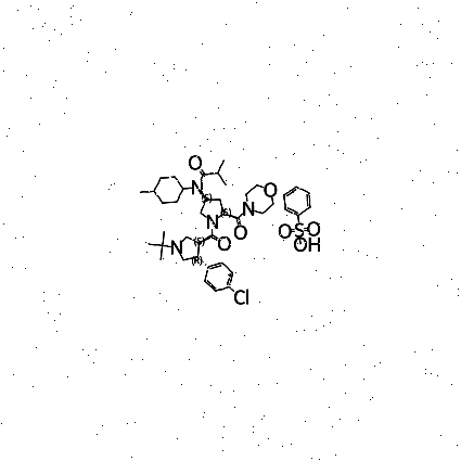 CC1CCC(N(C(=O)C(C)C)[C@H]2C[C@@H](C(=O)N3CCOCC3)N(C(=O)[C@@H]3CN(C(C)(C)C)C[C@H]3c3ccc(Cl)cc3)C2)CC1.O=S(=O)(O)c1ccccc1